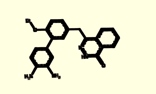 CCOc1ccc(Cc2n[nH]c(=O)c3ccccc23)cc1-c1ccc(N)c(N)c1